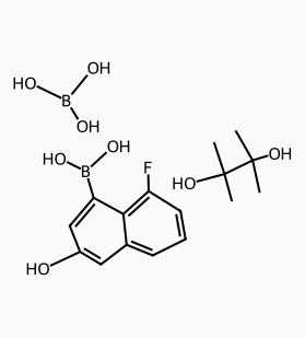 CC(C)(O)C(C)(C)O.OB(O)O.OB(O)c1cc(O)cc2cccc(F)c12